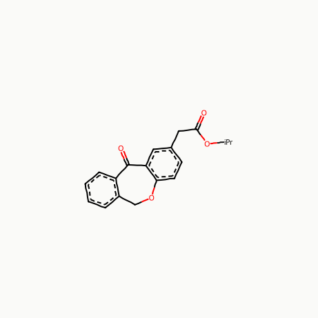 CC(C)OC(=O)Cc1ccc2c(c1)C(=O)c1ccccc1CO2